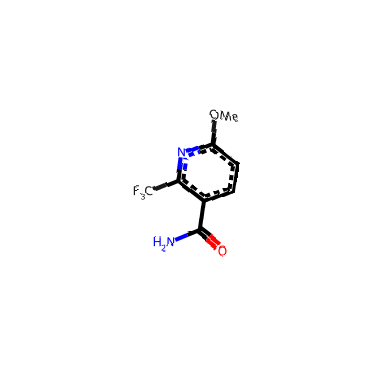 COc1ccc(C(N)=O)c(C(F)(F)F)n1